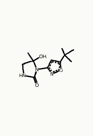 CC(C)(C)c1cc(N2C(=O)NCC2(C)O)no1